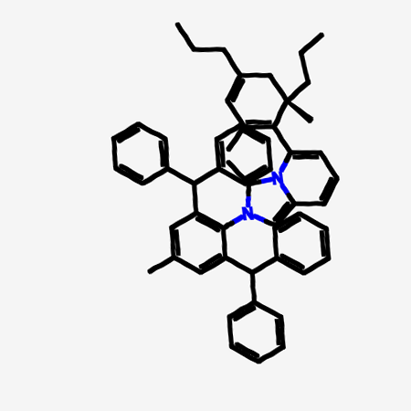 CCCC1=CC(C)=C(C2=CC=CC3=CN(c4c(C(c5ccccc5)c5ccccc5)cc(C)cc4C(c4ccccc4)c4ccccc4)C(C)N32)[C@@](C)(CCC)C1